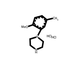 COc1ccc(C)cc1N1CCNCC1.Cl.Cl